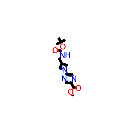 COC(=O)c1cnc(N2CC(CNC(=O)OC(C)(C)C)C2)cn1